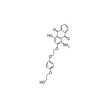 Nc1c(OCCOc2ccc(OCCO)cc2)cc(O)c2c1C(=O)c1ccccc1C2=O